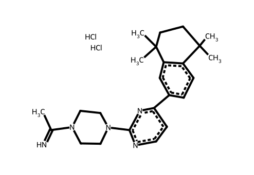 CC(=N)N1CCN(c2nccc(-c3ccc4c(c3)C(C)(C)CCC4(C)C)n2)CC1.Cl.Cl